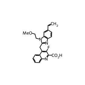 C=Cc1ccc2nc(Cc3c(F)c(C(=O)O)nc4ccccc34)n(CCOC)c2c1